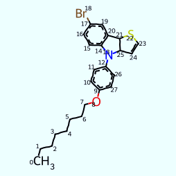 CCCCCCCCOc1ccc(N2c3ccc(Br)cc3C3SC=CC32)cc1